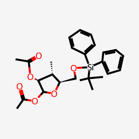 CC(=O)OC1O[C@H](CO[Si](c2ccccc2)(c2ccccc2)C(C)(C)C)[C@@H](C)[C@H]1OC(C)=O